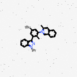 Cc1c(-c2nn(C(C)C)c3ccccc23)cc(C(C)(C)C)cc1-[n+]1cc2ccccc2cc1C